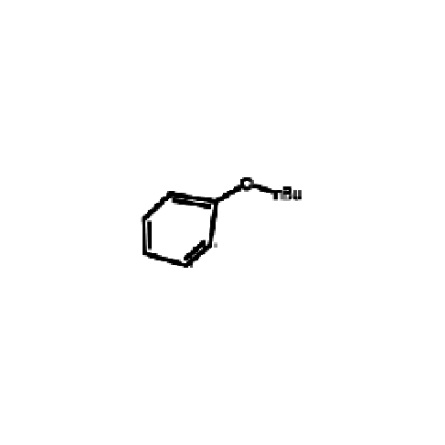 CCCCOc1[c][c]ccc1